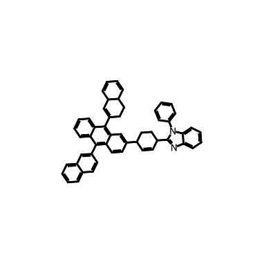 C1=CC2C=C(c3c4ccccc4c(-c4ccc5ccccc5c4)c4ccc(C5C=CC(c6nc7ccccc7n6-c6ccccc6)CC5)cc34)CCC2C=C1